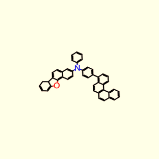 C1=CCC2C(=C1)Oc1c2ccc2cc(N(c3ccccc3)c3ccc(-c4cccc5c4ccc4ccc6ccccc6c45)cc3)ccc12